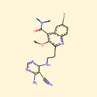 COc1c(CCNc2ncnc(N)c2C#N)nc2ccc(F)cc2c1C(=O)N(C)C